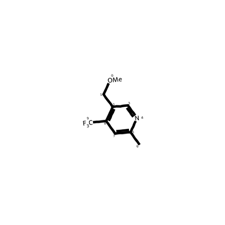 COCc1cnc(C)cc1C(F)(F)F